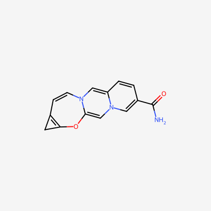 NC(=O)c1ccc2cn3ccc4c(oc-3cn2c1)C4